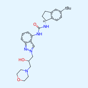 CC(C)(C)c1ccc2c(c1)CC[C@H]2NC(=O)Nc1cccc2nn(CC(O)CN3CCOCC3)cc12